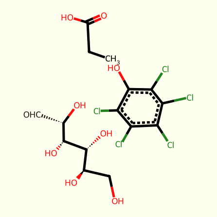 CCC(=O)O.O=C[C@H](O)[C@@H](O)[C@H](O)[C@H](O)CO.Oc1c(Cl)c(Cl)c(Cl)c(Cl)c1Cl